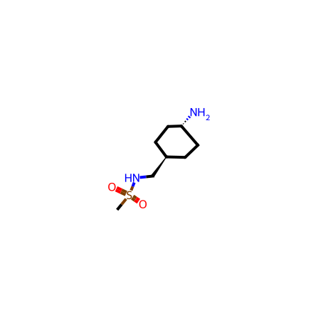 CS(=O)(=O)NC[C@H]1CC[C@H](N)CC1